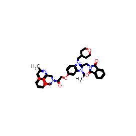 CCn1c(CN2C(=O)c3ccccc3C2=O)[n+](CC2CCOCC2)c2ccc(OCC(=O)N(Cc3ccccc3)Cc3nc(C)ccc3O)cc21